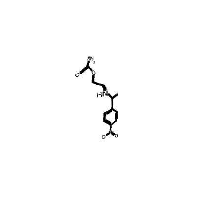 CC(NCCOC(N)=O)c1ccc([N+](=O)[O-])cc1